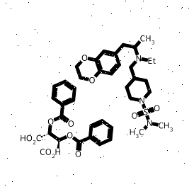 CCN(CC1CCN(S(=O)(=O)N(C)C)CC1)C(C)Cc1ccc2c(c1)OCCO2.O=C(O[C@@H](C(=O)O)[C@@H](OC(=O)c1ccccc1)C(=O)O)c1ccccc1